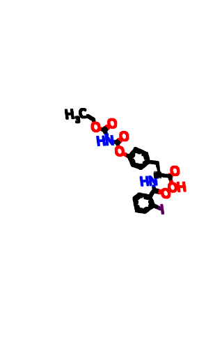 CCOC(=O)NC(=O)Oc1ccc(C[C@H](NC(=O)c2ccccc2I)C(=O)O)cc1